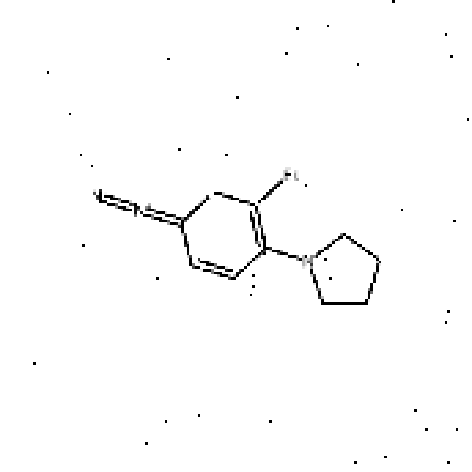 CCC1=C(N2CCCC2)C=CC(=[N+]=[N-])C1